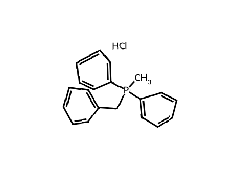 C[P](Cc1ccccc1)(c1ccccc1)c1ccccc1.Cl